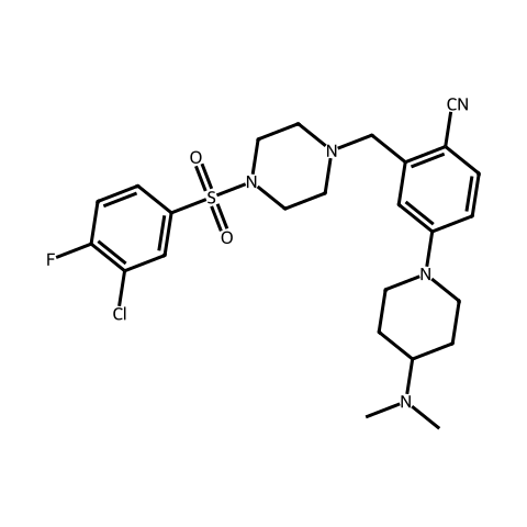 CN(C)C1CCN(c2ccc(C#N)c(CN3CCN(S(=O)(=O)c4ccc(F)c(Cl)c4)CC3)c2)CC1